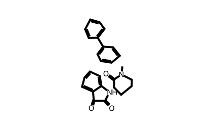 CN1CCCCC1=O.O=C1Nc2ccccc2C1=O.c1ccc(-c2ccccc2)cc1